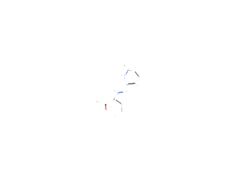 CCc1sc(-c2cccc(Cl)n2)nc1C(=O)OC